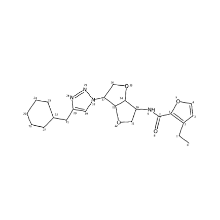 CCc1ccoc1C(=O)NC1COC2C1OCC2n1cc(CC2CCCCC2)nn1